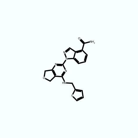 NC(=O)c1cccc2c1cnn2-c1nc2c(c(NCc3cccs3)n1)COC2